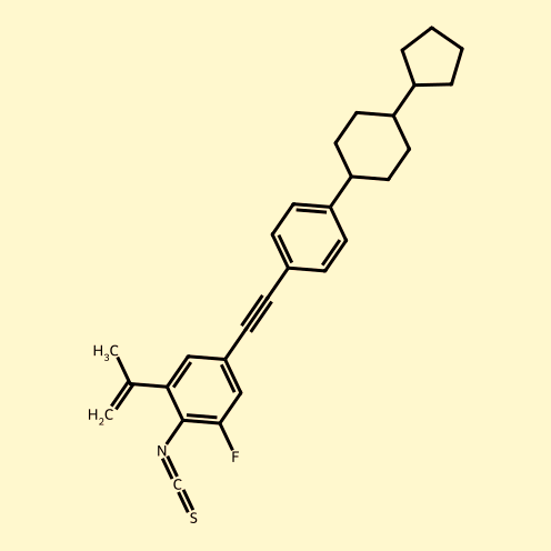 C=C(C)c1cc(C#Cc2ccc(C3CCC(C4CCCC4)CC3)cc2)cc(F)c1N=C=S